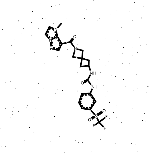 Cn1ccn2ncc(C(=O)N3CC4(CC(NC(=O)Nc5cccc(S(=O)(=O)C(F)(F)F)c5)C4)C3)c12